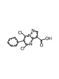 O=C(O)c1cnn2c(Cl)c(-c3ccccc3)c(Cl)nc12